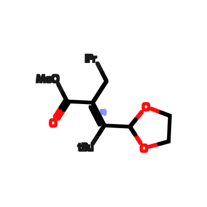 COC(=O)/C(CC(C)C)=C(/C1OCCO1)C(C)(C)C